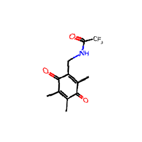 CC1=C(C)C(=O)C(CNC(=O)C(F)(F)F)=C(C)C1=O